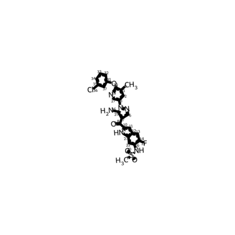 Cc1cc(-n2ncc(C(=O)c3cc4cc(F)c(NS(C)(=O)=O)cc4[nH]3)c2N)cnc1Oc1cccc(Cl)c1